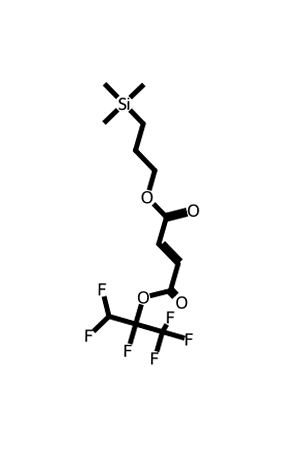 C[Si](C)(C)CCCOC(=O)C=CC(=O)OC(F)(C(F)F)C(F)(F)F